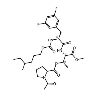 CCC(C)CCCOC(=O)N[C@@H](Cc1cc(F)cc(F)c1)C(=O)N[C@H](C(=O)OC)[C@@H](C)OC(=O)C1CCCN1C(C)=O